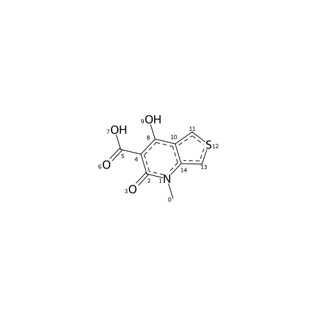 Cn1c(=O)c(C(=O)O)c(O)c2cscc21